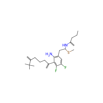 C=C(CCC)NC(Cc1cc(F)c(F)c(C(=C)CCCC(=C)C(C)(C)C)c1N)SC